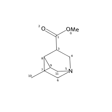 COC(=O)C1CN2CCC1C(C)C2